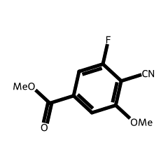 COC(=O)c1cc(F)c(C#N)c(OC)c1